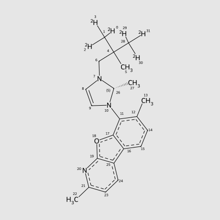 [2H]C([2H])([2H])C(C)(CN1C=CN(c2c(C)ccc3c2oc2nc(C)ccc23)[C@H]1C)C([2H])([2H])[2H]